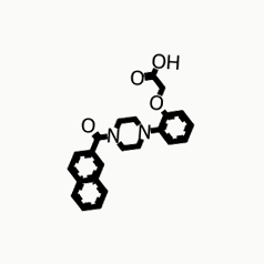 O=C(O)COc1ccccc1N1CCN(C(=O)c2ccc3ccccc3c2)CC1